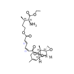 CCOC(=O)[C@@H](N)[C@H](C)CCOC(=O)/C=C/C=C\C(=O)O[C@@H]1C[C@H]2O[C@@H]3C=C(C)CCC3[C@]1(C)[C@]21CO1